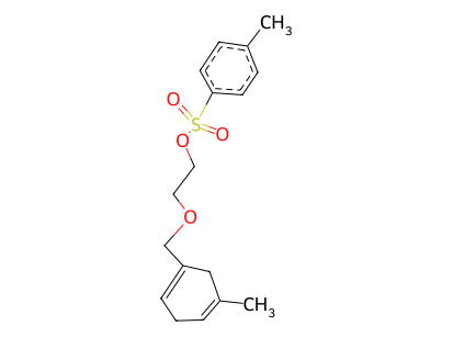 CC1=CCC=C(COCCOS(=O)(=O)c2ccc(C)cc2)C1